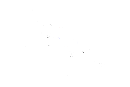 CC(C)(C)c1ccc([C@H]2OC(CC3=N[C@@H](c4ccc(C(C)(C)C)cc4)[C@@H](c4ccc(C(C)(C)C)cc4)O3)=N[C@H]2c2ccc(C(C)(C)C)cc2)cc1